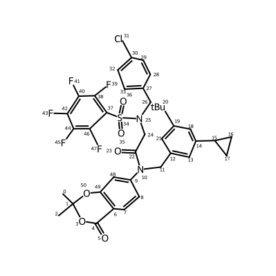 CC1(C)OC(=O)c2ccc(N(Cc3cc(C4CC4)cc(C(C)(C)C)c3)C(=O)CN(Cc3ccc(Cl)cc3)S(=O)(=O)c3c(F)c(F)c(F)c(F)c3F)cc2O1